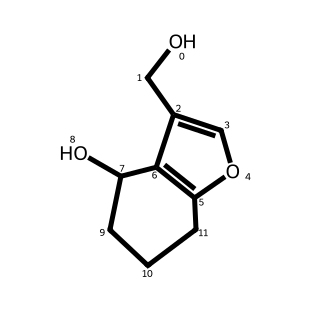 OCc1coc2c1C(O)CCC2